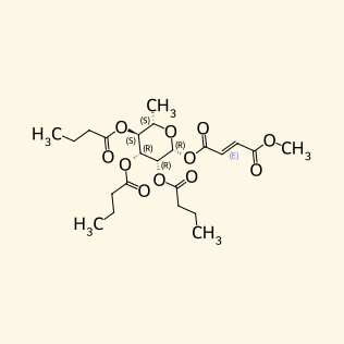 CCCC(=O)O[C@@H]1[C@@H](OC(=O)CCC)[C@H](C)O[C@H](OC(=O)/C=C/C(=O)OC)[C@@H]1OC(=O)CCC